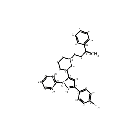 CC(CCN1CCCC(c2cc(-c3ccc(F)cc3)nn2-c2ncccn2)C1)c1ccccc1